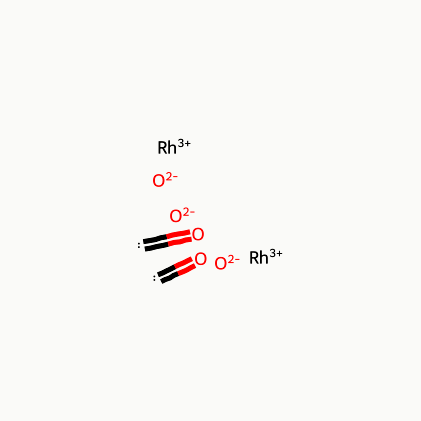 [C]=O.[C]=O.[O-2].[O-2].[O-2].[Rh+3].[Rh+3]